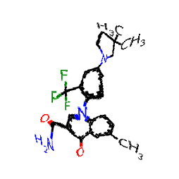 Cc1ccc2c(c1)c(=O)c(C(N)=O)cn2-c1ccc(N2CCC(C)(C)C2)cc1C(F)(F)F